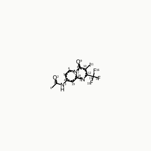 CC(=O)Nc1ccn2c(=O)c(I)c(C(F)(F)F)nc2c1